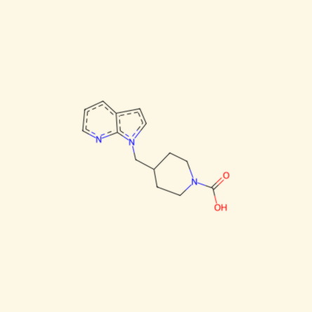 O=C(O)N1CCC(Cn2ccc3cccnc32)CC1